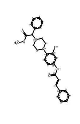 COC(=O)C(c1ccccc1)N1CCN(c2ccc(NC(=O)/C=C/c3ccccc3)cc2F)CC1